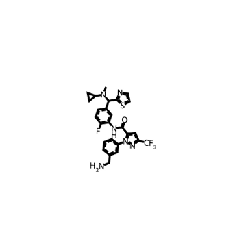 CN(C1CC1)C(c1ccc(F)c(NC(=O)c2cc(C(F)(F)F)nn2-c2cccc(CN)c2)c1)c1nccs1